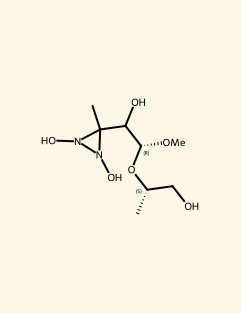 CO[C@H](O[C@@H](C)CO)C(O)C1(C)N(O)N1O